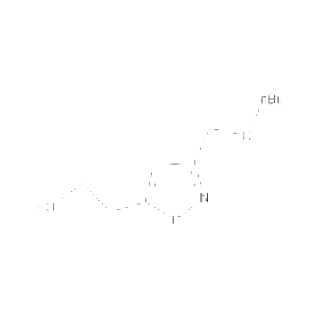 CCCCOCc1cc(CCO)on1